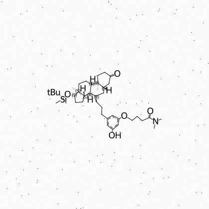 CN(C)C(=O)CCCOc1cc(O)cc(CCC[C@@H]2C[C@H]3CC(=O)CC[C@]3(C)[C@H]3CC[C@]4(C)[C@@H](O[Si](C)(C)C(C)(C)C)CC[C@H]4[C@H]23)c1